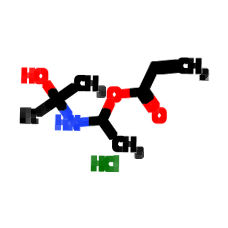 C=CC(=O)OC(C)NC(C)(O)CC.Cl